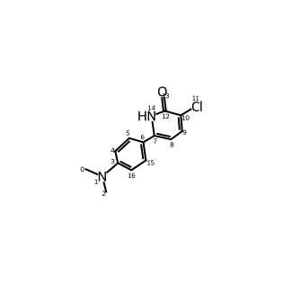 CN(C)c1ccc(-c2ccc(Cl)c(=O)[nH]2)cc1